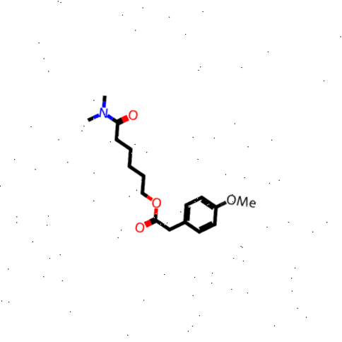 COc1ccc(CC(=O)OCCCCCC(=O)N(C)C)cc1